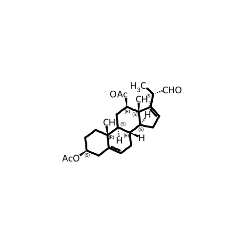 CC(=O)O[C@H]1CC[C@@]2(C)C(=CC[C@H]3[C@@H]4CC=C([C@H](C)C=O)[C@@]4(C)[C@H](OC(C)=O)C[C@@H]32)C1